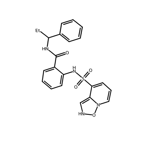 CCC(NC(=O)c1ccccc1NS(=O)(=O)C1=CC=CN2ONC=C12)c1ccccc1